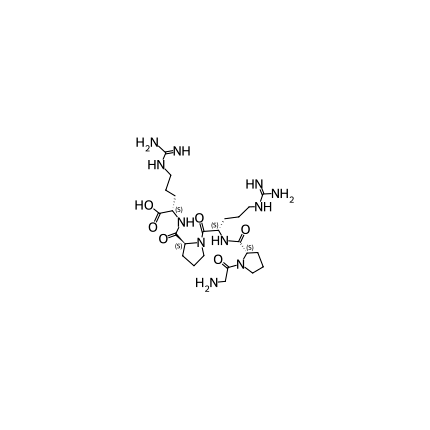 N=C(N)NCCC[C@H](NC(=O)[C@@H]1CCCN1C(=O)[C@H](CCCNC(=N)N)NC(=O)[C@@H]1CCCN1C(=O)CN)C(=O)O